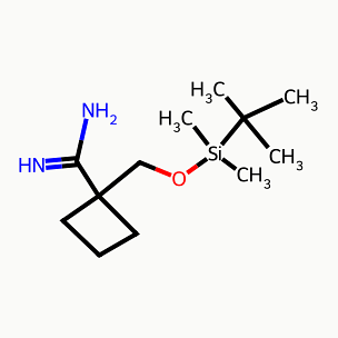 CC(C)(C)[Si](C)(C)OCC1(C(=N)N)CCC1